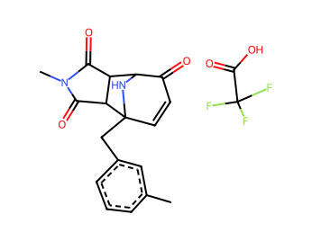 Cc1cccc(CC23C=CC(=O)C(N2)C2C(=O)N(C)C(=O)C23)c1.O=C(O)C(F)(F)F